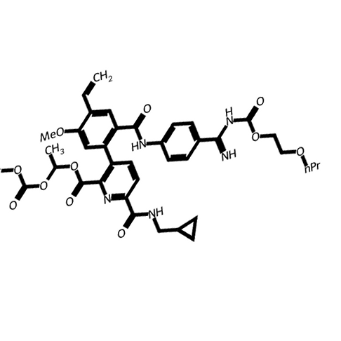 C=Cc1cc(C(=O)Nc2ccc(C(=N)NC(=O)OCCOCCC)cc2)c(-c2ccc(C(=O)NCC3CC3)nc2C(=O)OC(C)OC(=O)OC(C)C)cc1OC